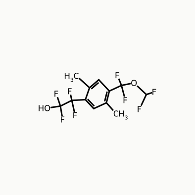 Cc1cc(C(F)(F)C(O)(F)F)c(C)cc1C(F)(F)OC(F)F